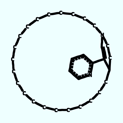 C1=C(c2ccccn2)C2CCCCCCCCCCCCCCCCCCCCCN1CC2